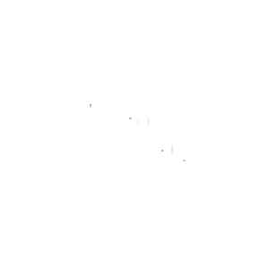 C=C[CH][SiH2]CC=C